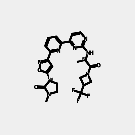 C[C@@H](Nc1nccc(-c2cccc(-c3cc([C@@H]4CCN(C)C4=O)on3)n2)n1)C(=O)N1CC(C(F)(F)F)C1